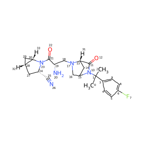 CC(C)(c1ccc(F)cc1)N1C(=O)[C@@H]2CC1CN2C[C@H](N)C(=O)N1[C@H](C#N)C[C@@H]2C[C@@H]21